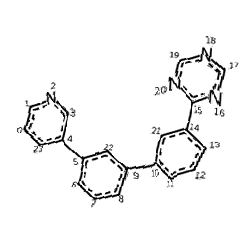 c1cncc(-c2cccc(-c3cccc(-c4ncncn4)c3)c2)c1